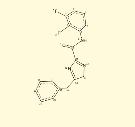 O=C(Nc1cccc(F)c1F)C1=NCC(Cc2ccccc2)=N1